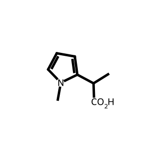 CC(C(=O)O)c1cccn1C